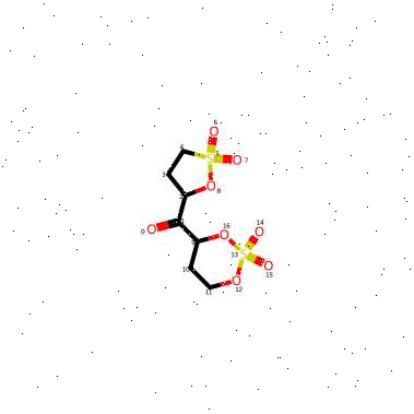 O=C(C1CCS(=O)(=O)O1)C1CCOS(=O)(=O)O1